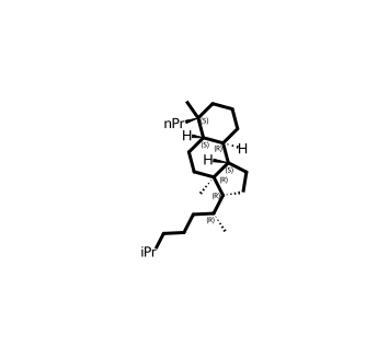 CCC[C@@]1(C)CCC[C@@H]2[C@@H]1CC[C@]1(C)[C@@H]([C@H](C)CCCC(C)C)CC[C@@H]21